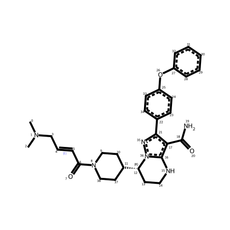 CN(C)C/C=C/C(=O)N1CCC([C@H]2CCNc3c(C(N)=O)c(-c4ccc(Oc5ccccc5)cc4)nn32)CC1